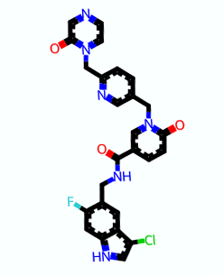 O=C(NCc1cc2c(Cl)c[nH]c2cc1F)c1ccc(=O)n(Cc2ccc(Cn3ccncc3=O)nc2)c1